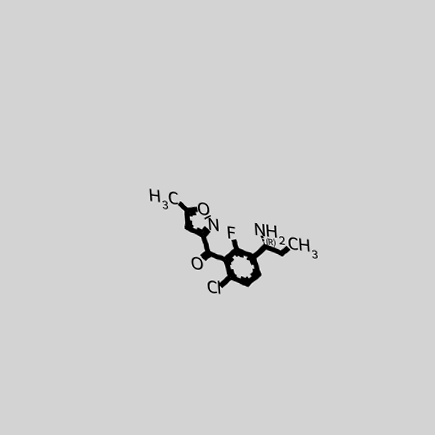 CC[C@@H](N)c1ccc(Cl)c(C(=O)c2cc(C)on2)c1F